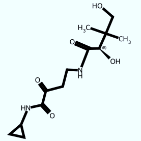 CC(C)(CO)[C@@H](O)C(=O)NCCC(=O)C(=O)NC1CC1